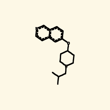 CC(C)CN1CCC(Oc2ccc3cnccc3c2)CC1